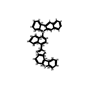 c1ccc2cc3c(cc2c1)c1ccccc1n3-c1ccc(-c2nc3ccc4sc5ccccc5c4c3s2)c2ccccc12